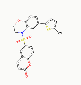 N#Cc1ccc(-c2ccc3c(c2)N(S(=O)(=O)c2ccc4oc(=O)ccc4c2)CCO3)s1